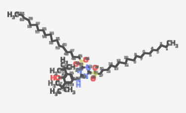 CCCCCCCCCCCCCCCCCCS(=O)(=O)c1nc(Nc2cc(C(C)(C)C)c(O)c(C(C)(C)C)c2)nc(S(=O)(=O)CCCCCCCCCCCCCCCCCC)n1